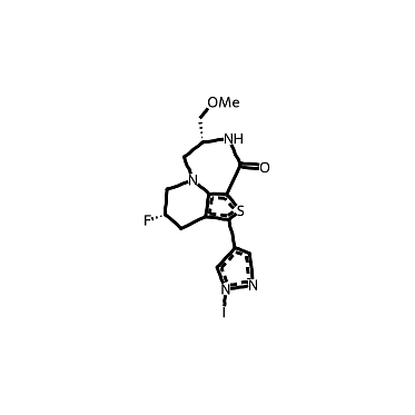 COC[C@H]1CN2C[C@@H](F)Cc3c(-c4cnn(I)c4)sc(c32)C(=O)N1